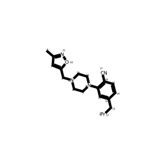 Cc1cc(CN2CCN(c3cc(CC(C)C)ccc3C#N)CC2)on1